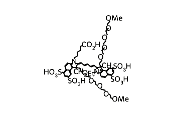 CC[N+]1=C(/C=C/C=C/C=C2/N(CCCCCC(=O)O)c3ccc4c(S(=O)(=O)O)cc(S(=O)(=O)O)cc4c3C2(C)CCOCCOCCOCCOCCOC)C(C)(CCOCCOCCOCCOCCOC)c2c1ccc1c(S(=O)(=O)O)cc(S(=O)(=O)O)cc21